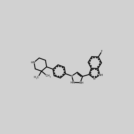 CC1(C)CNCCC1c1ccc(N2C=C(c3n[nH]c4cc(F)ccc34)NN2)cc1